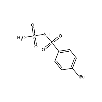 CCC(C)c1ccc(S(=O)(=O)NS(C)(=O)=O)cc1